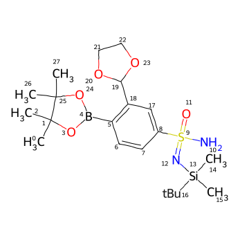 CC1(C)OB(c2ccc(S(N)(=O)=N[Si](C)(C)C(C)(C)C)cc2C2OCCO2)OC1(C)C